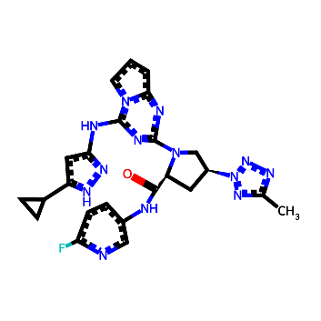 Cc1nnn([C@H]2C[C@@H](C(=O)Nc3ccc(F)nc3)N(c3nc(Nc4cc(C5CC5)[nH]n4)n4cccc4n3)C2)n1